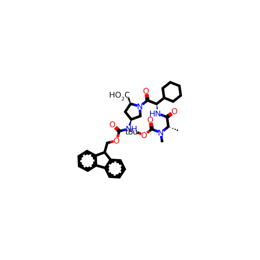 C[C@@H](C(=O)N[C@H](C(=O)N1C[C@@H](NC(=O)OCC2c3ccccc3-c3ccccc32)C[C@H]1C(=O)O)C1CCCCC1)N(C)C(=O)OC(C)(C)C